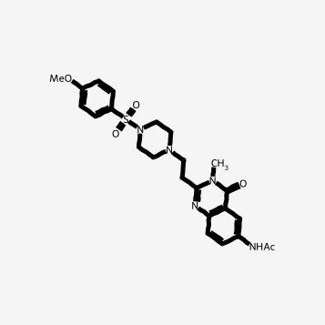 COc1ccc(S(=O)(=O)N2CCN(CCc3nc4ccc(NC(C)=O)cc4c(=O)n3C)CC2)cc1